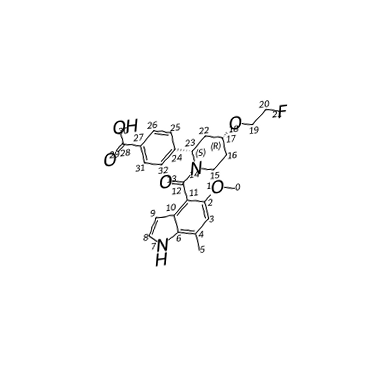 COc1cc(C)c2[nH]ccc2c1C(=O)N1CC[C@@H](OCCF)C[C@H]1c1ccc(C(=O)O)cc1